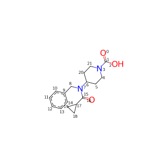 O=C(O)N1CCC(N(Cc2ccccc2)C(=O)C2CC2)CC1